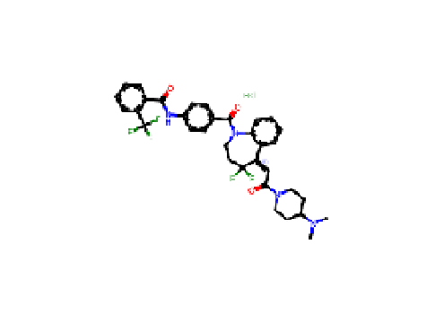 CN(C)C1CCN(C(=O)/C=C2/c3ccccc3N(C(=O)c3ccc(NC(=O)c4ccccc4C(F)(F)F)cc3)CCC2(F)F)CC1.Cl